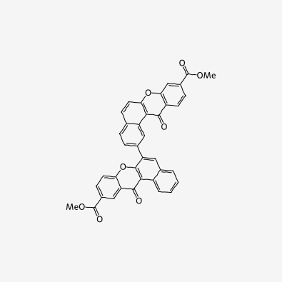 COC(=O)c1ccc2c(=O)c3c(ccc4ccc(-c5cc6ccccc6c6c(=O)c7cc(C(=O)OC)ccc7oc56)cc43)oc2c1